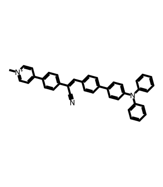 C[n+]1ccc(-c2ccc(/C(C#N)=C/c3ccc(-c4ccc(N(c5ccccc5)c5ccccc5)cc4)cc3)cc2)cc1